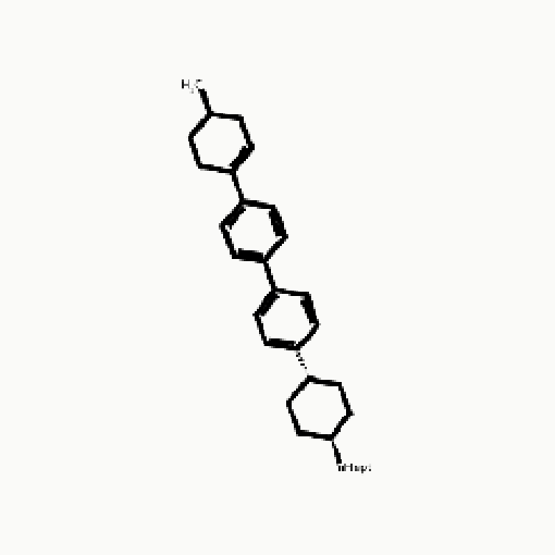 CCCCCCC[C@H]1CC[C@H](c2ccc(-c3ccc(C4=CCC(C)CC4)cc3)cc2)CC1